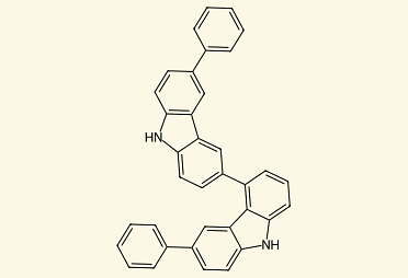 c1ccc(-c2ccc3[nH]c4ccc(-c5cccc6[nH]c7ccc(-c8ccccc8)cc7c56)cc4c3c2)cc1